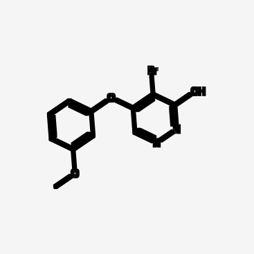 COc1cccc(Oc2cnnc(O)c2Br)c1